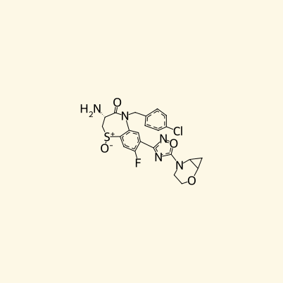 N[C@H]1C[S+]([O-])c2cc(F)c(-c3noc(N4CCOC5CC54)n3)cc2N(Cc2ccc(Cl)cc2)C1=O